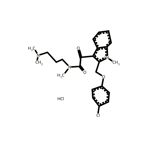 CN(C)CCCN(C)C(=O)C(=O)c1c(COc2ccc(Cl)cc2)n(C)c2ccccc12.Cl